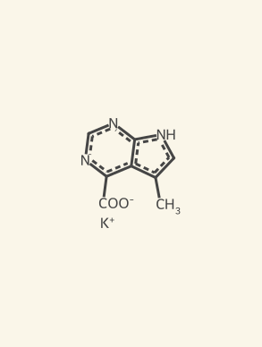 Cc1c[nH]c2ncnc(C(=O)[O-])c12.[K+]